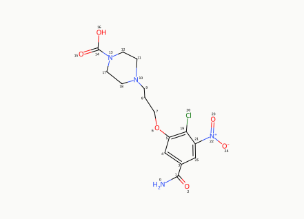 NC(=O)c1cc(OCCCN2CCN(C(=O)O)CC2)c(Cl)c([N+](=O)[O-])c1